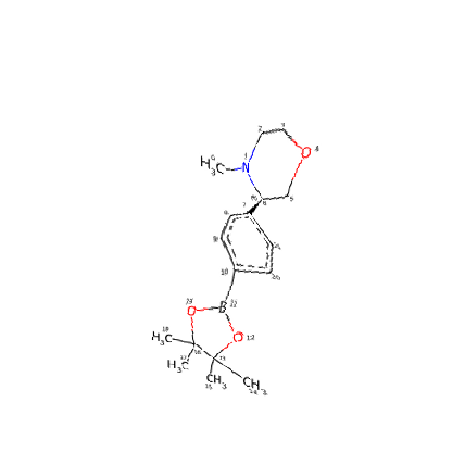 CN1CCOC[C@H]1c1ccc(B2OC(C)(C)C(C)(C)O2)cc1